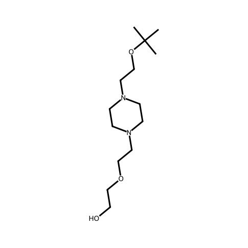 CC(C)(C)OCCN1CCN(CCOCCO)CC1